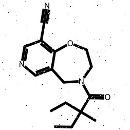 CCC(C)(CC)C(=O)N1CCOc2c(C#N)cncc2C1